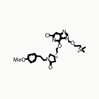 COc1ccc(CCN2C[C@H](CCOc3nc(Cl)cc4ncn(COCC[Si](C)(C)C)c34)CC2=O)cc1